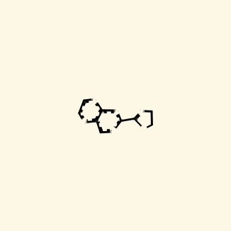 c1cnc2nc(C3=NCCS3)ncc2n1